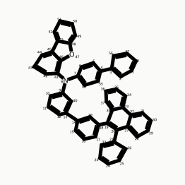 c1ccc(-c2ccc(N(c3cccc(-c4cccc(-c5c(-c6ccccc6)c6ccccc6c6ccccc56)c4)c3)c3cccc4c3oc3ccccc34)cc2)cc1